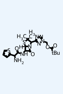 CC(C)(C)C(=O)OCn1nnc(C2N3C(=O)C(NC(=O)C(N)c4cccs4)[C@@H]3SC2(C)C)n1